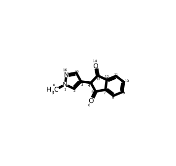 Cn1cc(C2C(=O)c3ccccc3C2=O)cn1